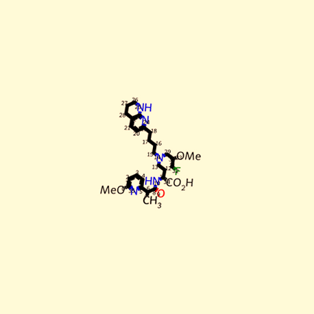 COc1cccc(C(C)C(=O)NC(CCN(CCCCc2ccc3c(n2)NCCC3)CC(CF)OC)C(=O)O)n1